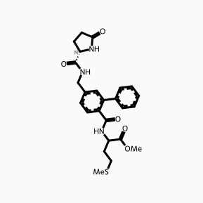 COC(=O)C(CCSC)NC(=O)c1ccc(CNC(=O)[C@@H]2CCC(=O)N2)cc1-c1ccccc1